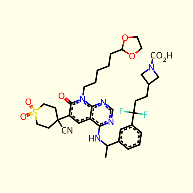 CC(Nc1ncnc2c1cc(C1(C#N)CCS(=O)(=O)CC1)c(=O)n2CCCCCC1OCCO1)c1cccc(C(F)(F)CCC2CN(C(=O)O)C2)c1